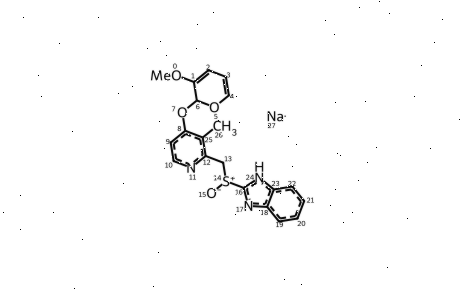 COC1=CC=COC1Oc1ccnc(C[S+]([O-])c2nc3ccccc3[nH]2)c1C.[Na]